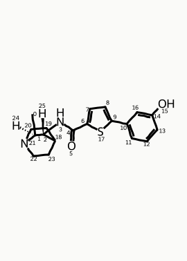 C[C@H]1[C@H](NC(=O)c2ccc(-c3cccc(O)c3)s2)C2CCN1CC2